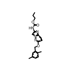 CCCOC(=O)Nc1cn2nc(OCc3cc(C)ccc3C)ccc2n1